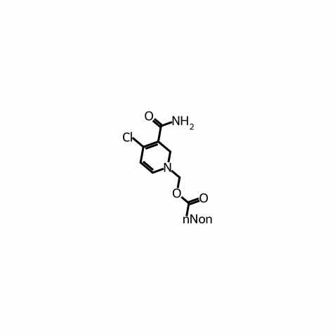 CCCCCCCCCC(=O)OCN1C=CC(Cl)=C(C(N)=O)C1